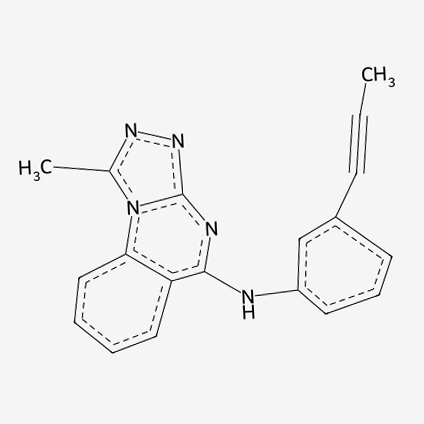 CC#Cc1cccc(Nc2nc3nnc(C)n3c3ccccc23)c1